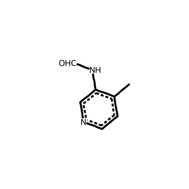 Cc1ccncc1NC=O